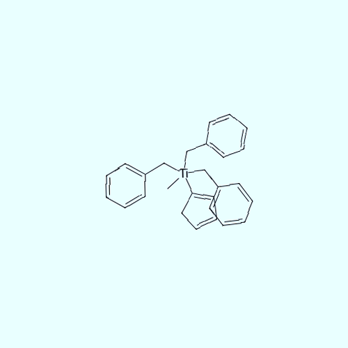 [CH3][Ti]([CH2]c1ccccc1)([CH2]c1ccccc1)([CH2]c1ccccc1)[C]1=CC=CC1